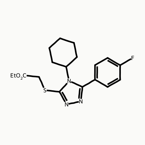 CCOC(=O)CSc1nnc(-c2ccc(F)cc2)n1C1CCCCC1